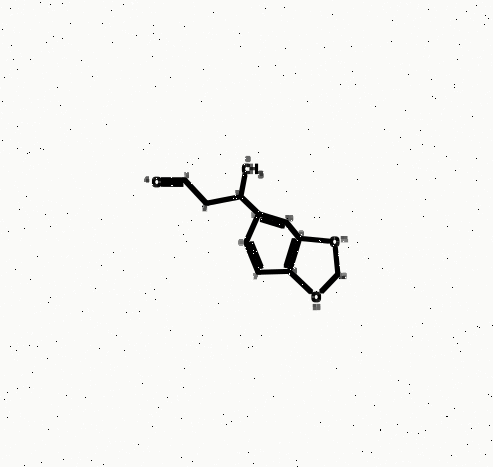 CC(CC=O)c1ccc2c(c1)OCO2